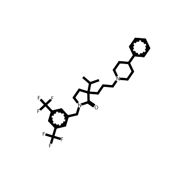 CC(C)C1(CCCN2CCC(c3ccccc3)CC2)CCN(Cc2cc(C(F)(F)F)cc(C(F)(F)F)c2)C1=O